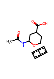 CC(=O)NC1CC(C(=O)O)CCO1.c1cc2ccc1-2